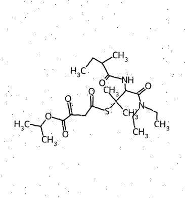 CCC(C)C(=O)NC(C(=O)N(CC)CC)C(C)(C)SC(=O)CC(=O)C(=O)OC(C)C